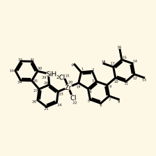 CC1=Cc2c(ccc(C)c2-c2cc(C)cc(C)c2C)[CH]1[Zr]([Cl])([Cl])[c]1cccc2c1[SiH2]c1ccccc1-2